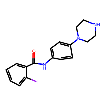 O=C(Nc1ccc(N2CCNCC2)cc1)c1ccccc1I